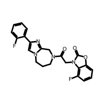 O=C(Cn1c(=O)oc2cccc(F)c21)N1CCCn2cc(-c3ccccc3F)nc2C1